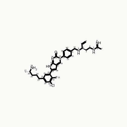 C=C[C@@H](CCNC(C)=N)NCc1ccc(-n2cc3cc(-c4cc(CCC[C@H](C)N)cc(Cl)c4F)[nH]c3nc2=O)cc1